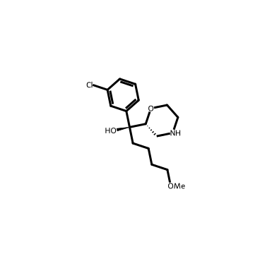 COCCCC[C@](O)(c1cccc(Cl)c1)[C@H]1CNCCO1